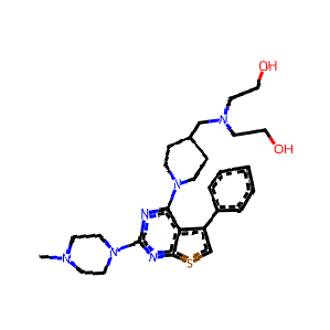 CN1CCN(c2nc(N3CCC(CN(CCO)CCO)CC3)c3c(-c4ccccc4)csc3n2)CC1